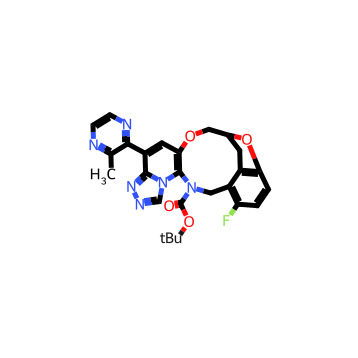 Cc1nccnc1-c1cc2c(n3cnnc13)N(C(=O)OC(C)(C)C)Cc1c(F)ccc3c1CC(CO2)O3